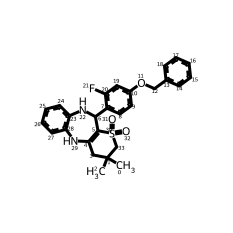 CC1(C)CC2=C(C(c3ccc(OCc4ccccc4)cc3F)Nc3ccccc3N2)S(=O)(=O)C1